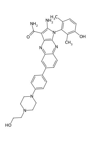 Cc1ccc(O)c(C)c1-n1c(N)c(C(N)=O)c2nc3cc(-c4ccc(N5CCN(CCO)CC5)cc4)ccc3nc21